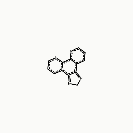 c1cnc2c(c1)c1c(c3cccnc32)=NCN=1